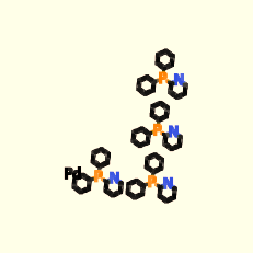 [Pd].c1ccc(P(c2ccccc2)c2ccccn2)cc1.c1ccc(P(c2ccccc2)c2ccccn2)cc1.c1ccc(P(c2ccccc2)c2ccccn2)cc1.c1ccc(P(c2ccccc2)c2ccccn2)cc1